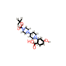 COc1ccc(C(=O)O)c(N2CCC(N3CCN(C(=O)OC(C)(C)C)CC3)CC2)c1